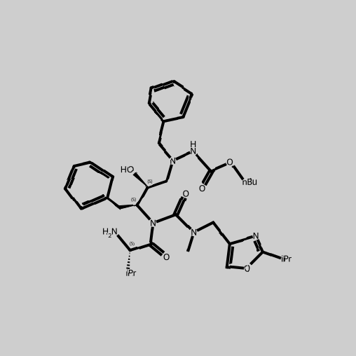 CCCCOC(=O)NN(Cc1ccccc1)C[C@H](O)[C@H](Cc1ccccc1)N(C(=O)[C@@H](N)C(C)C)C(=O)N(C)Cc1coc(C(C)C)n1